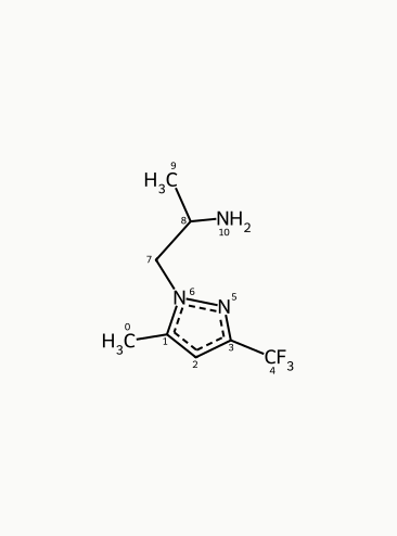 Cc1cc(C(F)(F)F)nn1CC(C)N